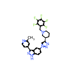 Cc1cc(-c2n[nH]c3ccc(-n4cc([C@@H]5CCCN(Cc6c(F)c(F)c(F)c(F)c6F)C5)nn4)cc23)ccn1